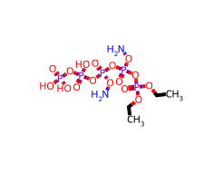 CCOP(=O)(OCC)OP(=O)(ON)OP(=O)(ON)OP(=O)(O)OP(=O)(O)O